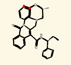 CC[C@H](NC(=O)c1c(CN2C[C@@H](C)O[C@@H](C)C2)n(-c2ccccc2)c(=O)c2ccccc12)c1ccccc1